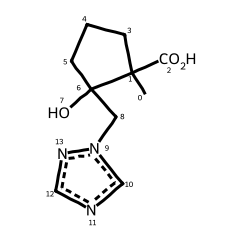 CC1(C(=O)O)CCCC1(O)Cn1cncn1